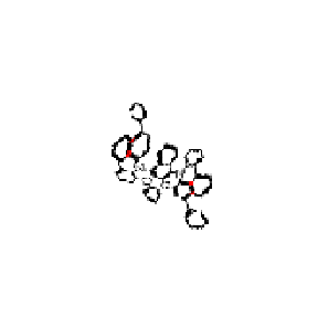 c1ccc(-c2ccc(N(c3ccccc3-c3ccccc3)c3c4c(c(N(c5ccc(-c6ccccc6)cc5)c5ccccc5-c5ccccc5)c5ccccc35)Oc3ccccc3O4)cc2)cc1